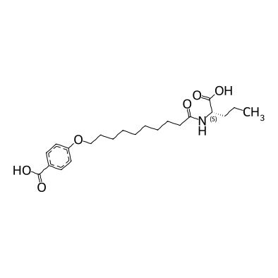 CCC[C@H](NC(=O)CCCCCCCCCOc1ccc(C(=O)O)cc1)C(=O)O